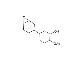 CC(=O)OC1CCC(C2CCC3OC3C2)CC1O